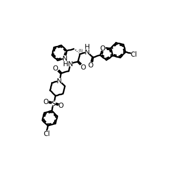 O=C(N[C@@H](Cc1ccccn1)C(=O)NCC(=O)N1CCC(S(=O)(=O)c2ccc(Cl)cc2)CC1)c1cc2cc(Cl)ccc2o1